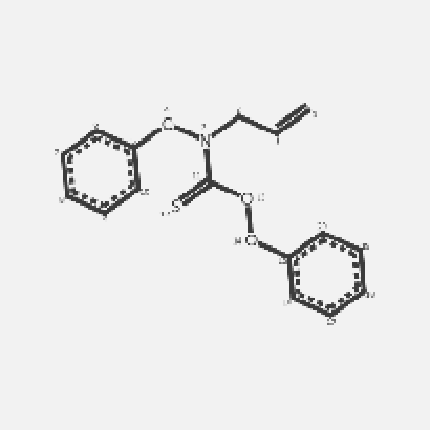 C=CCN(Oc1ccccc1)C(=S)OOc1ccccc1